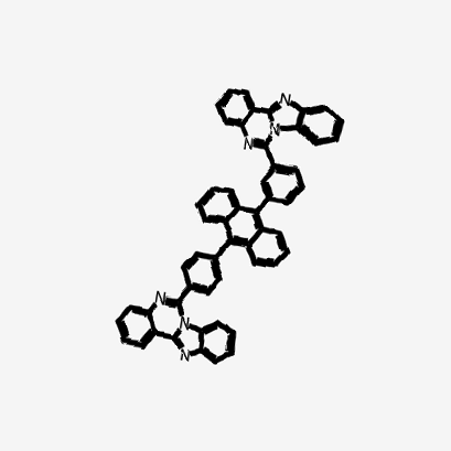 c1cc(-c2c3ccccc3c(-c3ccc(-c4nc5ccccc5c5nc6ccccc6n45)cc3)c3ccccc23)cc(-c2nc3ccccc3c3nc4ccccc4n23)c1